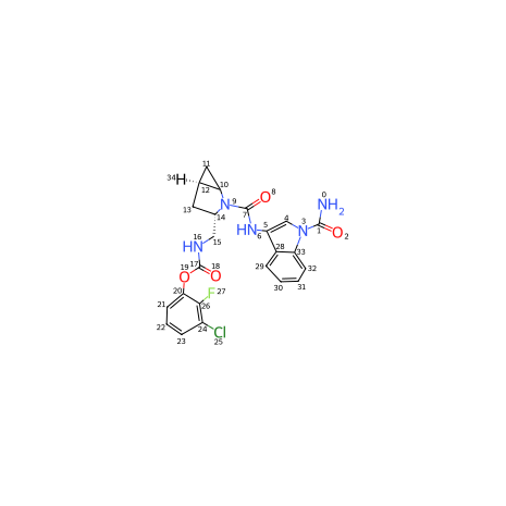 NC(=O)n1cc(NC(=O)N2C3C[C@@H]3C[C@H]2CNC(=O)Oc2cccc(Cl)c2F)c2ccccc21